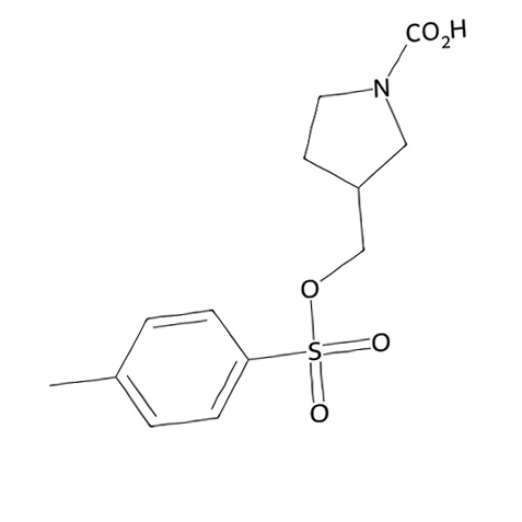 Cc1ccc(S(=O)(=O)OCC2CCN(C(=O)O)C2)cc1